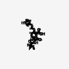 CSC(F)(F)C(=O)N[C@@H]1C(=O)N2C(C(=O)O)=C(SCSc3c[nH]nn3)CS[C@@H]12